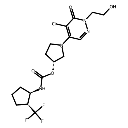 O=C(N[C@@H]1CCC[C@@H]1C(F)(F)F)O[C@@H]1CCN(c2cnn(CCO)c(=O)c2Cl)C1